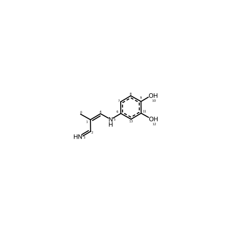 C/C(C=N)=C/Nc1ccc(O)c(O)c1